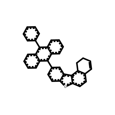 C1=Cc2ccc3oc4ccc(-c5c6ccccc6c(-c6ccccc6)c6ccccc56)cc4c3c2CC1